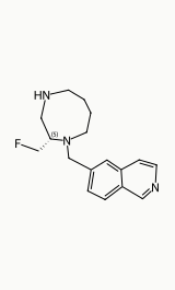 FC[C@@H]1CNCCCCN1Cc1ccc2cnccc2c1